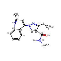 COCc1nn(-c2cc(C(F)(F)F)nc3ccccc23)cc1C(=O)N(C)OC